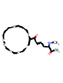 CNC(C/C=C/C(=O)C1CCCCCCCCCCCCCCCCC1)C(C)=O